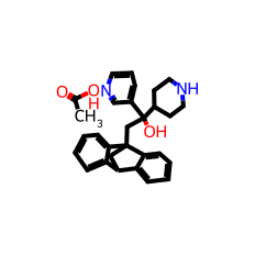 CC(=O)O.OC(CC12CC(c3ccccc31)c1ccccc12)(c1cccnc1)C1CCNCC1